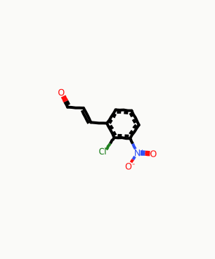 O=C/C=C/c1cccc([N+](=O)[O-])c1Cl